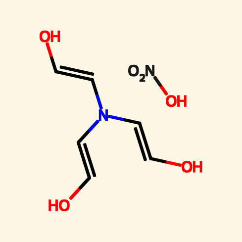 O=[N+]([O-])O.OC=CN(C=CO)C=CO